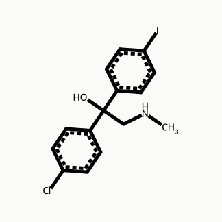 CNCC(O)(c1ccc(Cl)cc1)c1ccc(I)cc1